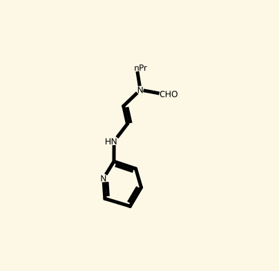 CCCN(C=O)C=CNc1ccccn1